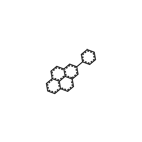 [c]1cccc(-c2cc3ccc4cccc5ccc(c2)c3c45)c1